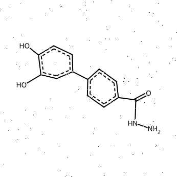 NNC(=O)c1ccc(-c2ccc(O)c(O)c2)cc1